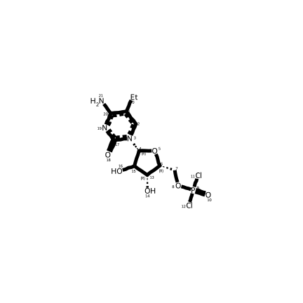 CCc1cn([C@@H]2O[C@H](COP(=O)(Cl)Cl)[C@H](O)C2O)c(=O)nc1N